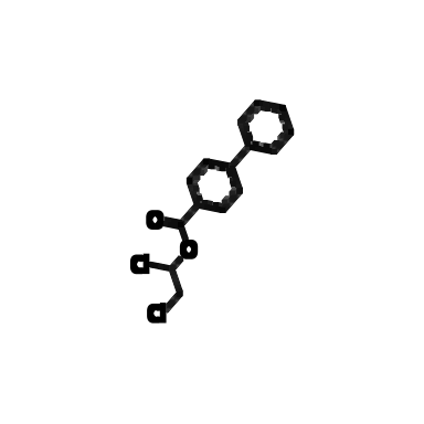 O=C(OC(Cl)CCl)c1ccc(-c2ccccc2)cc1